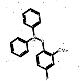 COc1cc(F)ccc1O[SiH](c1ccccc1)c1ccccc1